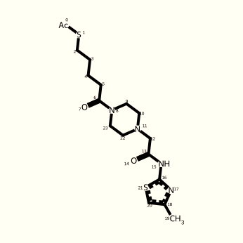 CC(=O)SCCCCC(=O)N1CCN(CC(=O)Nc2nc(C)cs2)CC1